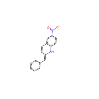 O=[N+]([O-])c1ccc2c(c1)C=C/C(=C\c1ccccc1)N2